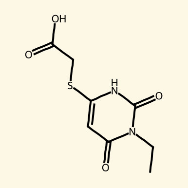 CCn1c(=O)cc(SCC(=O)O)[nH]c1=O